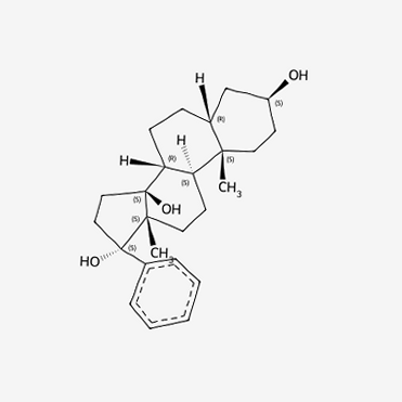 C[C@]12CC[C@H](O)C[C@H]1CC[C@@H]1[C@@H]2CC[C@]2(C)[C@@](O)(c3ccccc3)CC[C@]12O